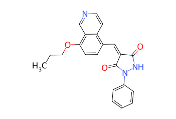 CCCOc1ccc(C=C2C(=O)NN(c3ccccc3)C2=O)c2ccncc12